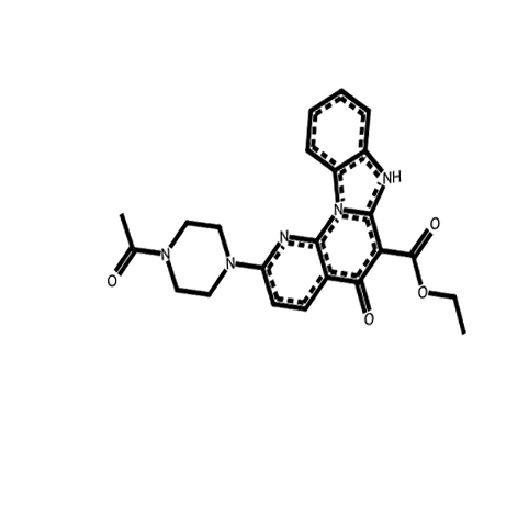 CCOC(=O)c1c(=O)c2ccc(N3CCN(C(C)=O)CC3)nc2n2c1[nH]c1ccccc12